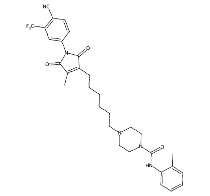 CC1=C(CCCCCCN2CCN(C(=O)Nc3ccccc3C)CC2)C(=O)N(c2ccc(C#N)c(C(F)(F)F)c2)C1=O